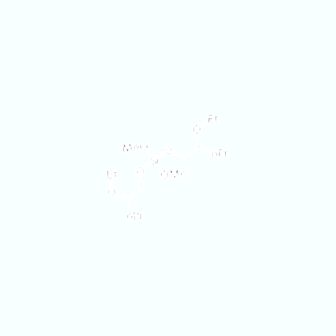 CCCC(CO[Si](OC)(OC)OCC(CCC)OCC)OCC